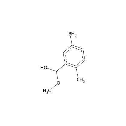 Bc1ccc(C)c(C(O)OC)c1